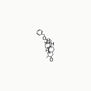 CC1C[C@@]2(C)C(CC[C@@H]3[C@H]2CC[C@]2(C)C(OCc4ccccc4)CC[C@@H]32)CC1=O